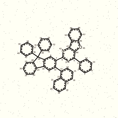 c1ccc(-c2nc(-c3cc4c(cc3-c3cccc5ccccc35)-c3ccccc3C4(c3ccccc3)c3ccccc3)nc3c2oc2ccccc23)cc1